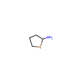 NC1CCCS1